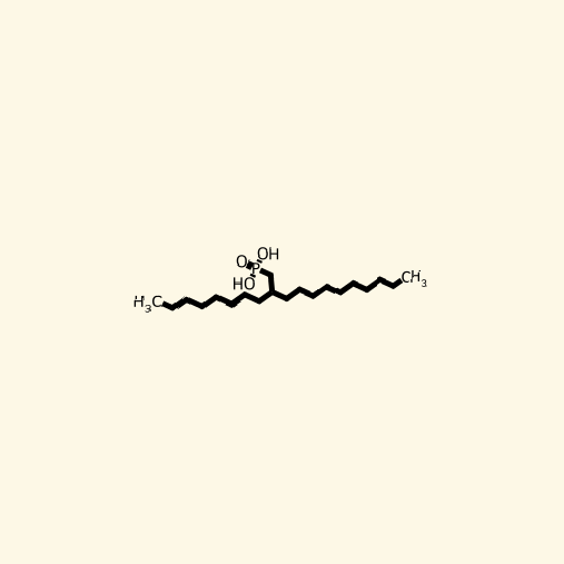 CCCCCCCCCCC(CCCCCCCC)CP(=O)(O)O